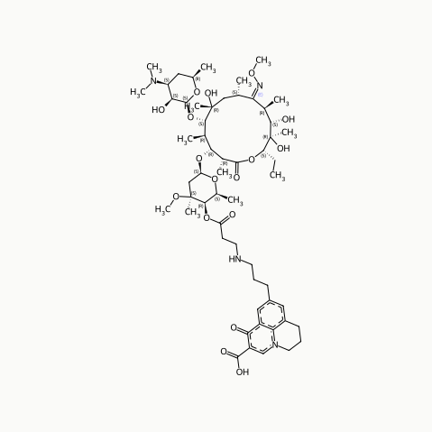 CC[C@@H]1OC(=O)[C@H](C)[C@H](O[C@@H]2C[C@](C)(OC)[C@H](OC(=O)CCNCCCc3cc4c5c(c3)c(=O)c(C(=O)O)cn5CCC4)[C@H](C)O2)[C@@H](C)[C@H](O[C@@H]2O[C@H](C)C[C@H](N(C)C)[C@@H]2O)[C@](C)(O)C[C@H](C)/C(=N\OC)[C@@H](C)[C@H](O)[C@@]1(C)O